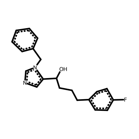 OC(CCCc1ccc(F)cc1)c1cncn1Cc1ccccc1